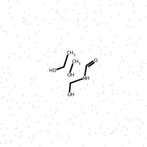 CCO.CO.O=CNCO